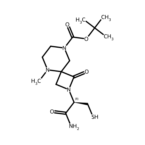 CN1CCN(C(=O)OC(C)(C)C)CC12CN([C@@H](CS)C(N)=O)C2=O